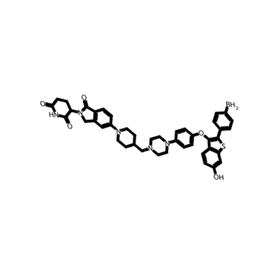 Bc1ccc(-c2sc3cc(O)ccc3c2Oc2ccc(N3CCN(CC4CCN(c5ccc6c(c5)CN(C5CCC(=O)NC5=O)C6=O)CC4)CC3)cc2)cc1